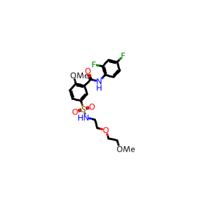 COCCOCCNS(=O)(=O)c1ccc(OC)c(C(=O)Nc2ccc(F)cc2F)c1